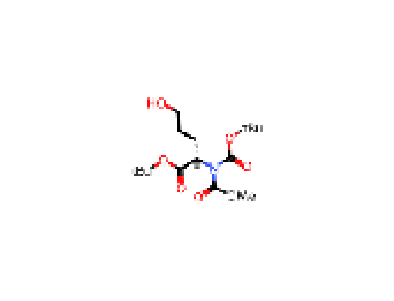 COC(=O)N(C(=O)OC(C)(C)C)[C@@H](CCCO)C(=O)OC(C)(C)C